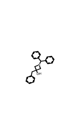 OC1(Cc2ccccc2)CN(C(c2ccccc2)c2ccccc2)C1